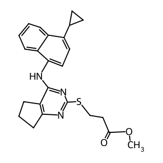 COC(=O)CCSc1nc2c(c(Nc3ccc(C4CC4)c4ccccc34)n1)CCC2